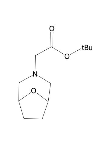 CC(C)(C)OC(=O)CN1CC2CCC(C1)O2